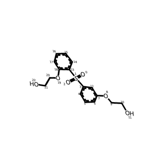 O=S(=O)(c1cccc(OCCO)c1)c1ccccc1OCCO